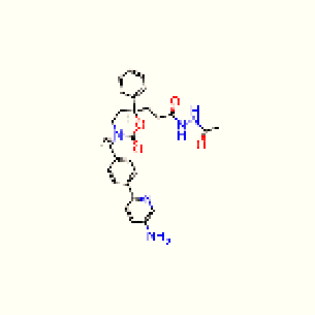 CC(=O)NNC(=O)CC[C@]1(c2ccccc2)CCN([C@@H](C)c2ccc(-c3ccc(N)cn3)cc2)C(=O)O1